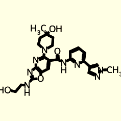 Cn1cc(-c2cccc(NC(=O)c3cc4oc(NCCO)nc4nc3N3CCC(C)(O)CC3)n2)cn1